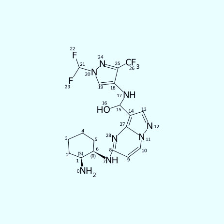 N[C@H]1CCCC[C@H]1Nc1ccn2ncc(C(O)Nc3cn(C(F)F)nc3C(F)(F)F)c2n1